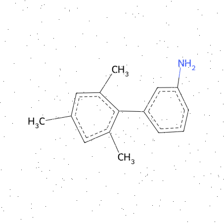 Cc1cc(C)c(-c2cccc(N)c2)c(C)c1